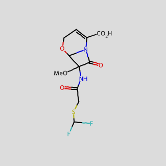 COC1(NC(=O)CSC(F)F)C(=O)N2C(C(=O)O)=CCOC21